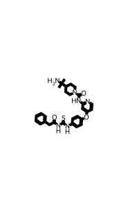 CC(C)(N)C1CCN(C(=O)Nc2cc(Oc3ccc(NC(=S)NC(=O)Cc4ccccc4)cc3)ccn2)CC1